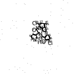 NC(=O)C(c1cccnc1)N(C(=O)c1cccc(Cl)c1O)[C@@H]1CCc2c(F)cc(Cl)cc21